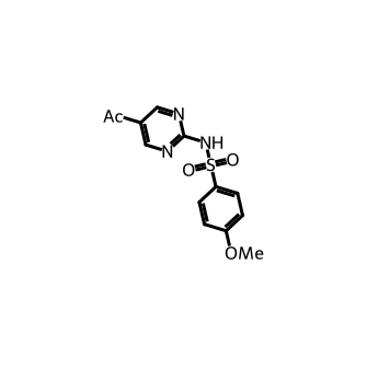 COc1ccc(S(=O)(=O)Nc2ncc(C(C)=O)cn2)cc1